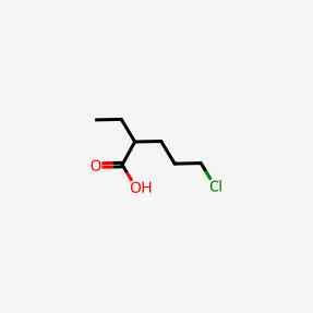 CCC(CCCCl)C(=O)O